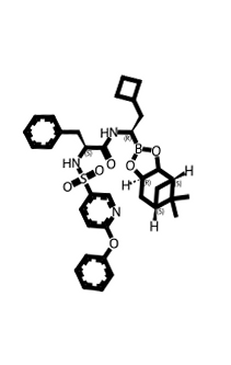 CC1(C)[C@H]2C[C@@H]1C1OB([C@H](CC3CCC3)NC(=O)[C@H](Cc3ccccc3)NS(=O)(=O)c3ccc(Oc4ccccc4)nc3)O[C@@H]1C2